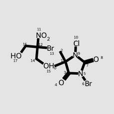 CC1(C)C(=O)N(Br)C(=O)N1Cl.O=[N+]([O-])C(Br)(CO)CO